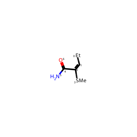 CC/C=C(/SC)C(N)=O